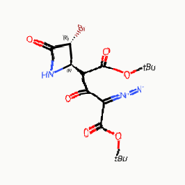 CC(C)(C)OC(=O)C(=[N+]=[N-])C(=O)C(C(=O)OC(C)(C)C)[C@H]1NC(=O)[C@@H]1Br